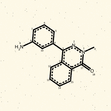 Cn1nc(-c2cccc(N)c2)c2ccccc2c1=O